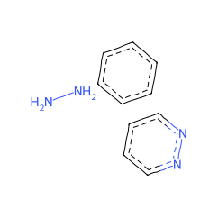 NN.c1ccccc1.c1ccnnc1